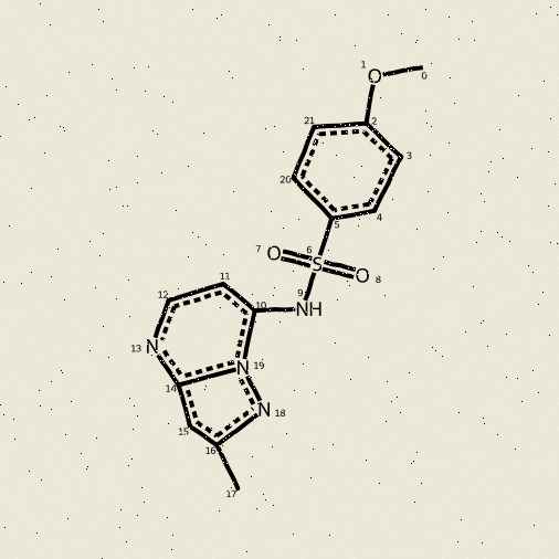 COc1ccc(S(=O)(=O)Nc2ccnc3cc(C)nn23)cc1